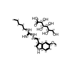 CCCCCNC(=N)N/N=C/c1c[nH]c2ccc(OC)cc12.O=C(O)[C@H](O)[C@@H](O)[C@H](O)[C@H](O)CO